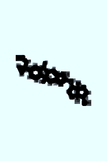 COC1C=c2[nH]c(O[C@@H]3CO[C@H]4[C@@H]3OC[C@H]4O)nc2=CC1(C)c1ccc(C2(CO)CC2)cc1